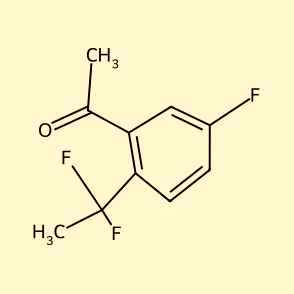 CC(=O)c1cc(F)ccc1C(C)(F)F